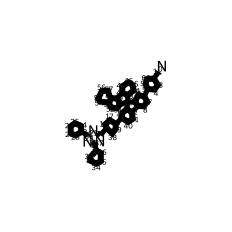 N#Cc1ccc(-c2ccc3c(c2)C2(c4cc(-c5ccc(-c6nc(-c7ccccc7)nc(-c7ccccc7)n6)cc5)ccc4-3)c3ccccc3-c3c2ccc2ccccc32)cc1